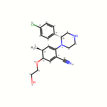 C[C@H]1C=C(N2CCNC[C@H]2c2ccc(Cl)cc2)C(C#N)=CC1OCCO